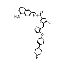 Nc1nccc2cc(CNC(=O)c3cc(Cl)c(Cc4sccc4Oc4ccc(N5CCNCC5)cc4)s3)ccc12